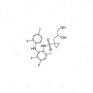 Cc1cc(F)c(F)c(Nc2ccc(I)cc2F)c1NS(=O)(=O)C1(CC(O)CO)CC1